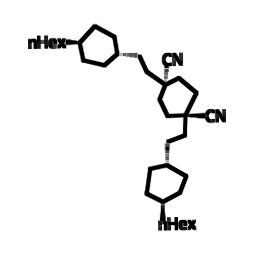 CCCCCC[C@H]1CC[C@H](CC[C@]2(C#N)CC[C@@](C#N)(CC[C@H]3CC[C@H](CCCCCC)CC3)CC2)CC1